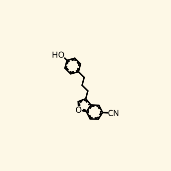 N#Cc1ccc2occ(CCCc3ccc(O)cc3)c2c1